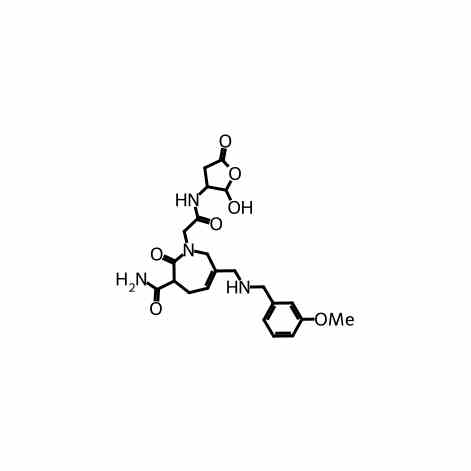 COc1cccc(CNCC2=CCC(C(N)=O)C(=O)N(CC(=O)NC3CC(=O)OC3O)C2)c1